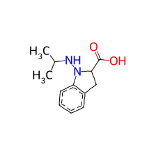 CC(C)NN1c2ccccc2CC1C(=O)O